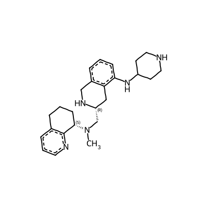 CN(C[C@H]1Cc2c(cccc2NC2CCNCC2)CN1)[C@H]1CCCc2cccnc21